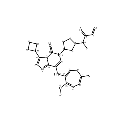 C=CC(=O)N(C)C1CCC(n2cc(NC3=CCC(C)=CN=C3OC)c3ncc(C4CCC4)n3c2=O)C1